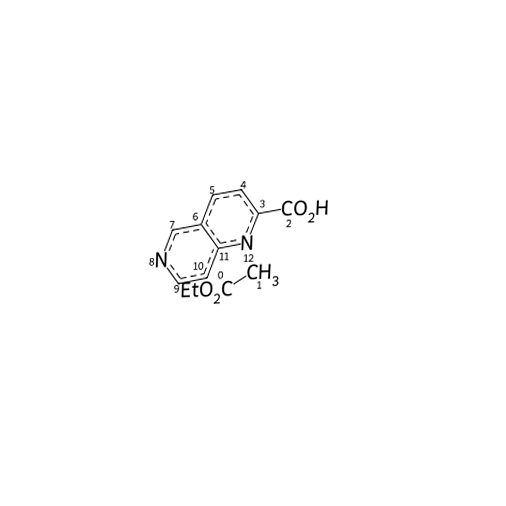 CCOC(C)=O.O=C(O)c1ccc2cnccc2n1